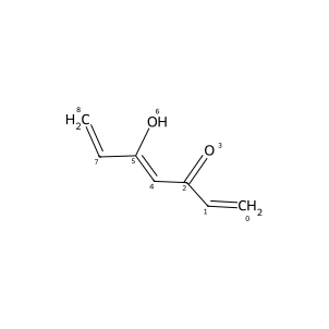 C=CC(=O)C=C(O)C=C